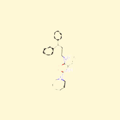 CC(C)CC(NC(=O)N1CCCCCC1)C(=O)NCCC(c1ccccc1)c1ccccc1